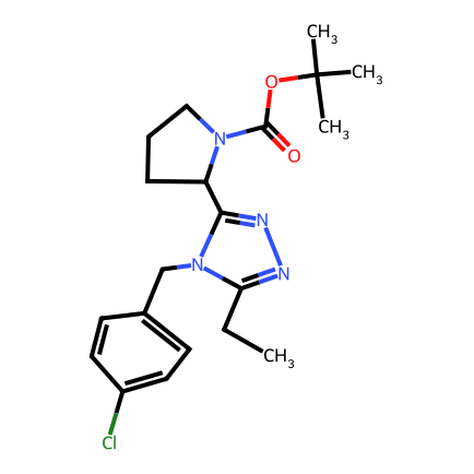 CCc1nnc(C2CCCN2C(=O)OC(C)(C)C)n1Cc1ccc(Cl)cc1